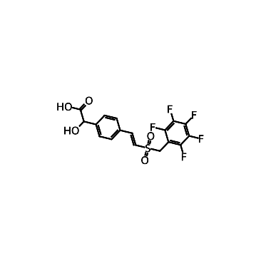 O=C(O)C(O)c1ccc(C=CS(=O)(=O)Cc2c(F)c(F)c(F)c(F)c2F)cc1